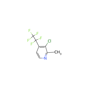 Cc1nccc(C(F)(F)C(F)(F)F)c1Cl